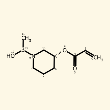 C=CC(=O)O[C@@H]1CCCN(B(C)O)C1